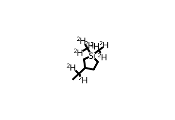 [2H]C([2H])(C)C1CC[Si](C([2H])([2H])[2H])(C([2H])([2H])[2H])C1